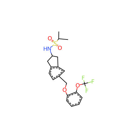 CC(C)S(=O)(=O)NC1Cc2ccc(COc3ccccc3OC(F)(F)F)cc2C1